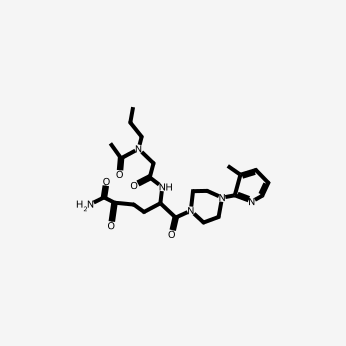 CCCN(CC(=O)NC(CCC(=O)C(N)=O)C(=O)N1CCN(c2ncccc2C)CC1)C(C)=O